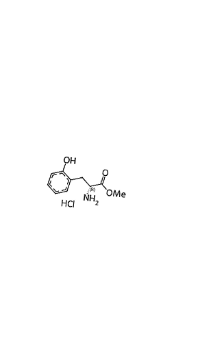 COC(=O)[C@H](N)Cc1ccccc1O.Cl